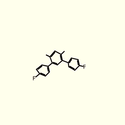 Cc1cc(C)c(-c2ccc(F)cc2)cc1-c1ccc(F)cc1